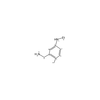 CCNc1ccc(C)c(CN)c1